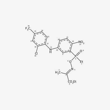 CCOC(=O)C(C)=NOP(=O)(CC)c1cc(Nc2ccc(C(F)(F)F)cc2Cl)ccc1[N+](=O)[O-]